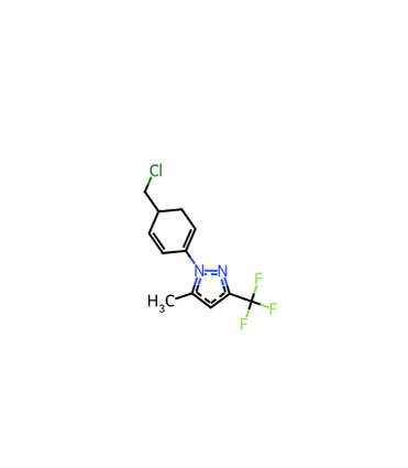 Cc1cc(C(F)(F)F)nn1C1=CCC(CCl)C=C1